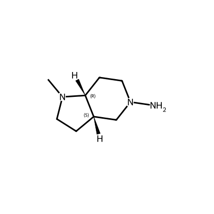 CN1CC[C@H]2CN(N)CC[C@H]21